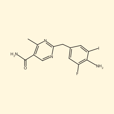 Cc1nc(Cc2cc(F)c(N)c(I)c2)ncc1C(N)=O